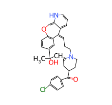 CC(C)(O)c1ccc2c(c1)C(=CCCN1CCC(C(=O)c3ccc(Cl)cc3)CC1)C1=CC=CNC1=CO2